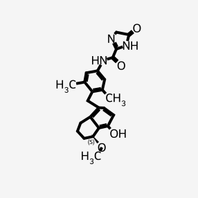 CO[C@H]1CCCc2c(Cc3c(C)cc(NC(=O)C4=NCC(=O)N4)cc3C)ccc(O)c21